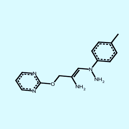 Cc1ccc(N(N)/C=C(\N)COc2ncccn2)cc1